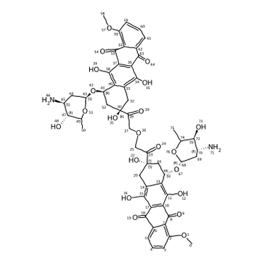 COc1cccc2c1C(=O)c1c(O)c3c(c(O)c1C2=O)C[C@@](O)(C(=O)COCC(=O)[C@@]1(O)Cc2c(O)c4c(c(O)c2[C@H](O[C@@H]2C[C@H](N)[C@@H](O)C(C)O2)C1)C(=O)c1c(OC)cccc1C4=O)C[C@@H]3O[C@H]1C[C@@H](N)[C@H](O)C(C)O1